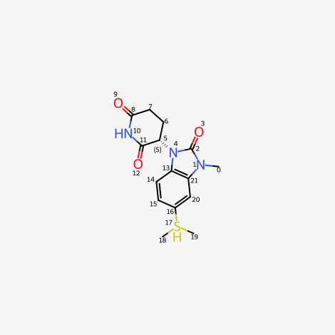 Cn1c(=O)n([C@H]2CCC(=O)NC2=O)c2ccc([SH](C)C)cc21